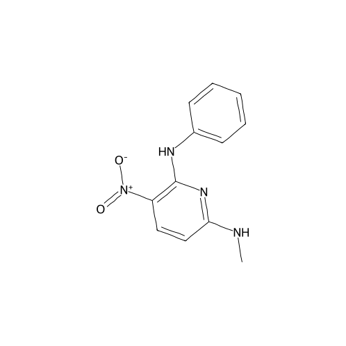 CNc1ccc([N+](=O)[O-])c(Nc2ccccc2)n1